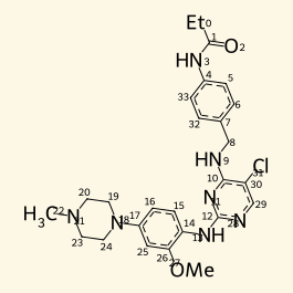 CCC(=O)Nc1ccc(CNc2nc(Nc3ccc(N4CCN(C)CC4)cc3OC)ncc2Cl)cc1